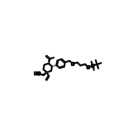 C=C[C@]1(CO)CC[C@@H](C(=C)C)[C@H](c2ccc(COCCCO[Si](C)(C)C(C)(C)C)cc2)C1